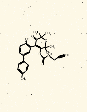 C#CCOC(=O)OC1=C(c2cc(-c3ccc(C)cc3)ccc2CC)C(=O)C(C)(C)OC1(C)C